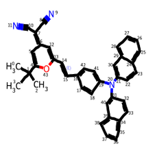 CC(C)(C)C1=CC(=C(C#N)C#N)C=C(/C=C/c2ccc(N(c3ccc4ccccc4c3)c3ccc4ccccc4c3)cc2)O1